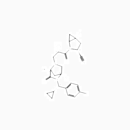 C[C@@H](CN1C[C@@H]2C[C@H]1C(=O)N2[C@H](c1ccc(F)cc1)C1CC1)C(=O)N1C2C[C@H]2C[C@H]1C#N